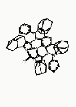 O=c1n2c3c(c4c2n2c5c(c6c(n15)C1CC5CC(CC6C5)C1)B1c5c(cc6c(c5-2)B4N(c2ccccc2)C2=C6C4CC5CC(C4)CC2C5)C2=C(C4CC5CC(CC2C5)C4)N1c1ccccc1)C1CC2CC(C1)CC3C2